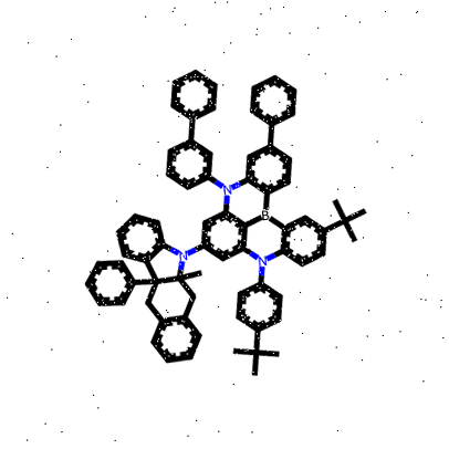 CC(C)(C)c1ccc(N2c3ccc(C(C)(C)C)cc3B3c4ccc(-c5ccccc5)cc4N(c4cccc(-c5ccccc5)c4)c4cc(N5c6ccccc6C6(c7ccccc7)Cc7ccccc7CC56C)cc2c43)cc1